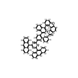 c1ccc(-c2nc3ccc4oc5cccc(-c6ccc(-c7ccc(-c8nc(-c9c%10ccccc%10cc%10ccccc9%10)nc(-c9c%10ccccc%10cc%10ccccc9%10)n8)cc7)c7ccccc67)c5c4c3o2)cc1